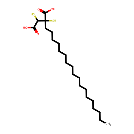 CCCCCCCCCCCCCCCCCCC(S)(C(=O)O)C(S)C(=O)O